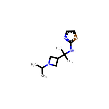 CC(C)N1CC(C(C)(C)Nc2nccs2)C1